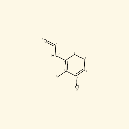 CC1=C(NC=O)CCC=C1Cl